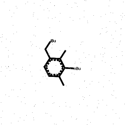 CCCCc1c(C)ccc(CC(C)CC)c1C